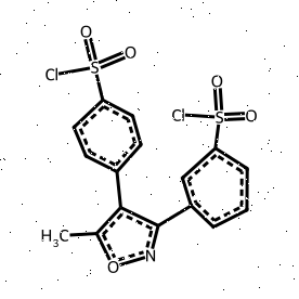 Cc1onc(-c2cccc(S(=O)(=O)Cl)c2)c1-c1ccc(S(=O)(=O)Cl)cc1